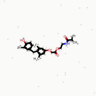 Cc1cc(OCC(=O)OCCNC(=O)C(C)C(C)C)cc(C)c1Cc1ccc(O)c(C(C)C)c1